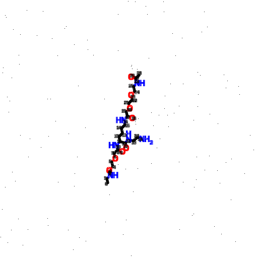 CCNOCCOCC(=O)NC(CCCCNC(=O)COCCOCCNC(C)=O)C(=O)NCCN